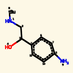 CC(C)(C)NCC(O)c1ccc(N)cc1